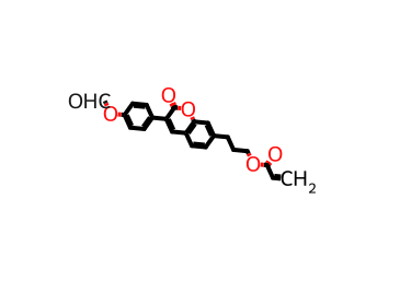 C=CC(=O)OCCCc1ccc2cc(-c3ccc(OC=O)cc3)c(=O)oc2c1